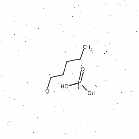 CCCCCCl.O=[PH](O)O